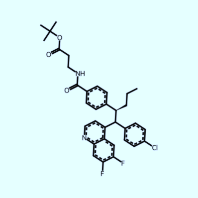 CCC[C@H](c1ccc(C(=O)NCCC(=O)OC(C)(C)C)cc1)C(c1ccc(Cl)cc1)c1ccnc2cc(F)c(F)cc12